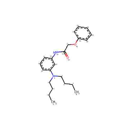 CCCCN(CCCC)c1cccc(NC(=O)COc2ccccc2)c1